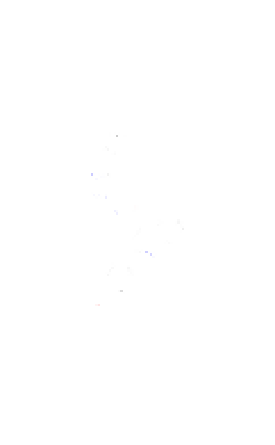 O=C(Nc1nnc(-c2ccco2)o1)c1cc(-c2ccc(O)cc2)nc2ccccc12